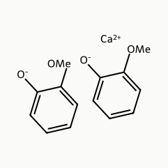 COc1ccccc1[O-].COc1ccccc1[O-].[Ca+2]